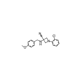 COc1ccc(CNC2(C#N)CN(c3ccccc3Cl)C2)cc1